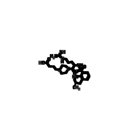 C[C@@H]1CNc2c(cccc2S(=O)(=O)NC(CCCNC(=N)N)C(=O)N2CCN(CCCC(=O)O)CC2)C1